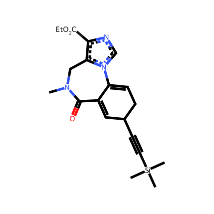 CCOC(=O)c1ncn2c1CN(C)C(=O)C1=CC(C#C[Si](C)(C)C)CC=C12